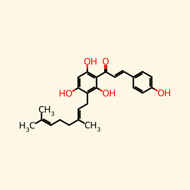 CC(C)=CCC/C(C)=C/Cc1c(O)cc(O)c(C(=O)/C=C/c2ccc(O)cc2)c1O